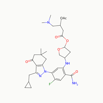 CC(=O)OC(CC(=O)OC1CC(Nc2cc(-n3nc(CC4CC4)c4c3CC(C)(C)CC4=O)c(F)cc2C(N)=O)CO1)CN(C)C